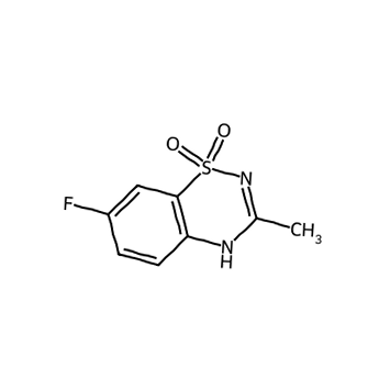 CC1=NS(=O)(=O)c2cc(F)ccc2N1